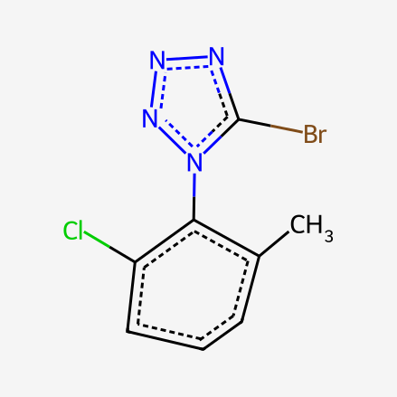 Cc1cccc(Cl)c1-n1nnnc1Br